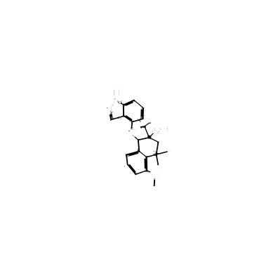 COc1cccc2c1C(C)(C)CC(O)(C(F)(F)F)C2Nc1cccc2[nH]ncc12